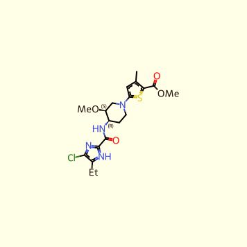 CCc1[nH]c(C(=O)N[C@@H]2CCN(c3cc(C)c(C(=O)OC)s3)C[C@@H]2OC)nc1Cl